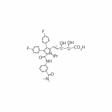 CC(C)n1c(/C=C/[C@@H](O)C[C@@H](O)CC(=O)O)c(-c2ccc(F)cc2)c(-c2ccc(F)cc2)c1C(=O)Nc1cccc(C(=O)N(C)C)c1